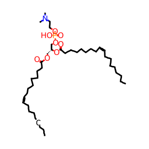 CCCCCCCC/C=C\CCCCCCCC(=O)OC[C@H](COP(=O)(O)OCCN(C)C)OC(=O)CCCCCCC/C=C\CCCCCCCC